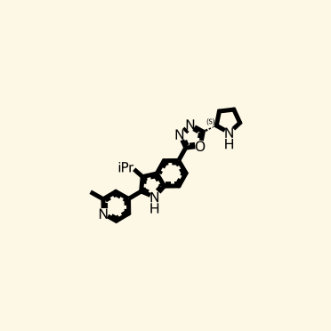 Cc1cc(-c2[nH]c3ccc(-c4nnc([C@@H]5CCCN5)o4)cc3c2C(C)C)ccn1